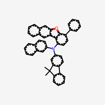 CC1(C)c2ccccc2-c2ccc(N(c3ccc4ccccc4c3)c3ccc(-c4ccccc4)c4oc5cc6ccccc6cc5c34)cc21